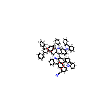 N#Cc1ccc(-n2c3ccccc3c3ccccc32)c(-c2ccc3c(c2)N(c2ccccc2-c2ccccc2)c2cc(-c4cc(-c5ccccc5)cc(-c5ccccc5)c4)cc4c2B3c2ccc(-n3c5ccccc5c5ccccc53)cc2N4c2ccccc2-c2ccccc2)c1